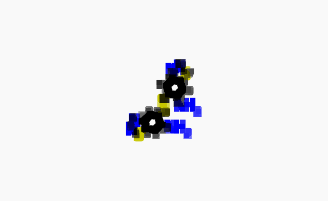 Nc1cc2snnc2cc1SSc1cc2nnsc2cc1N